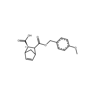 COc1ccc(COC(=O)C2C3C=CC(C3)[C@H]2C(=O)O)cc1